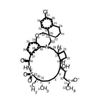 C[C@@H]1[C@@H](C)CCC[C@](O)(CC[S+](C)[O-])[C@@H]2CC[C@H]2CN2C[C@@]3(CCCc4cc(Cl)ccc43)COc3ccc(cc32)C(=O)NS1(=O)=O